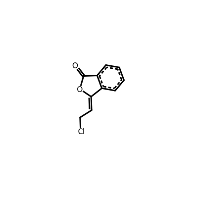 O=C1OC(=CCCl)c2ccccc21